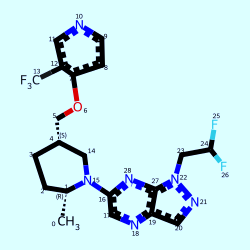 C[C@@H]1CC[C@H](COc2ccncc2C(F)(F)F)CN1c1cnc2cnn(CC(F)F)c2n1